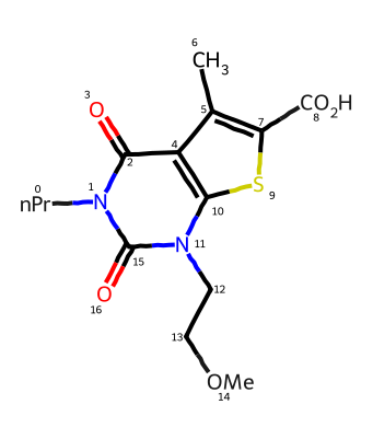 CCCn1c(=O)c2c(C)c(C(=O)O)sc2n(CCOC)c1=O